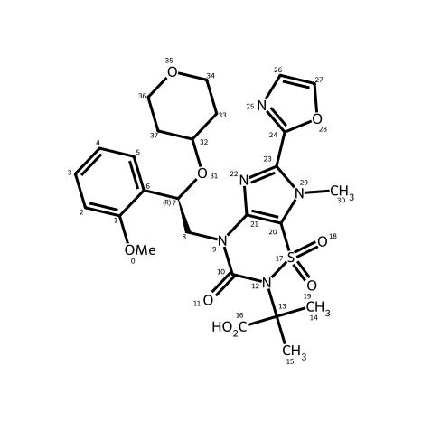 COc1ccccc1[C@H](CN1C(=O)N(C(C)(C)C(=O)O)S(=O)(=O)c2c1nc(-c1ncco1)n2C)OC1CCOCC1